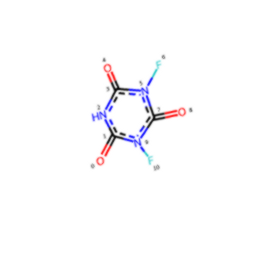 O=c1[nH]c(=O)n(F)c(=O)n1F